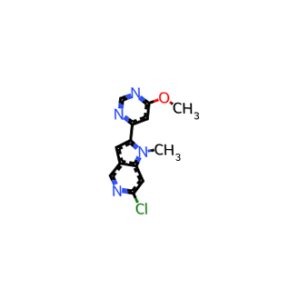 COc1cc(-c2cc3cnc(Cl)cc3n2C)ncn1